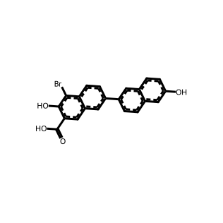 O=C(O)c1cc2cc(-c3ccc4cc(O)ccc4c3)ccc2c(Br)c1O